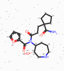 NC(=O)C1(C[CH]C(=O)N(C(=O)c2ccco2)C2CCCNC[C@@H]2O)CCCC1